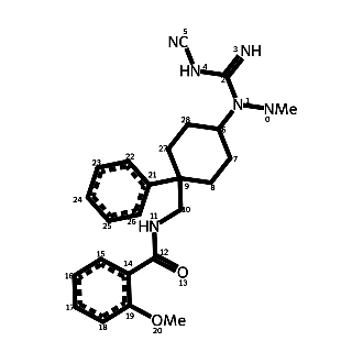 CNN(C(=N)NC#N)C1CCC(CNC(=O)c2ccccc2OC)(c2ccccc2)CC1